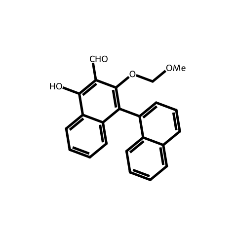 COCOc1c(C=O)c(O)c2ccccc2c1-c1cccc2ccccc12